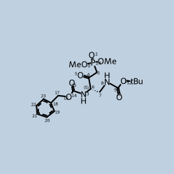 COP(=O)(CC(=O)[C@H](CNC(=O)OC(C)(C)C)NC(=O)OCc1ccccc1)OC